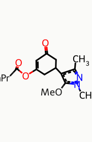 CCCC(=O)OC1=CC(=O)CC(c2c(C)nn(C)c2OC)C1